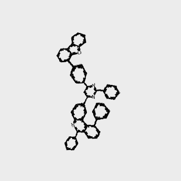 c1ccc(-c2nc(-c3ccc(-c4cccc5c4oc4ccccc45)cc3)cc(-c3ccc4nc(-c5ccccc5)c5cccc(-c6ccccc6)c5c4c3)n2)cc1